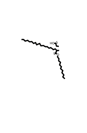 CCC(O)=S.CCCCCCCCCCCCCCCCCCC(C)C(=S)OCCCCCCCCCCCC